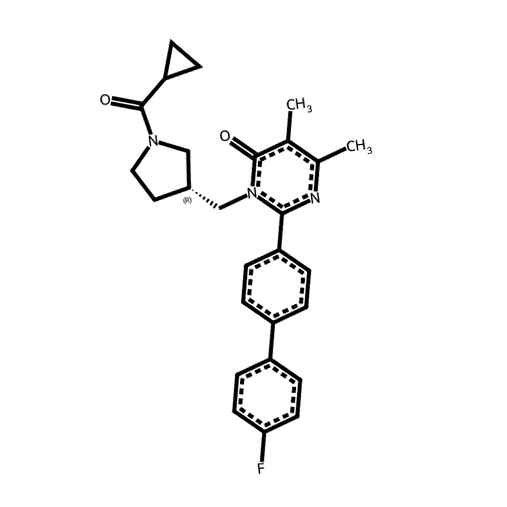 Cc1nc(-c2ccc(-c3ccc(F)cc3)cc2)n(C[C@@H]2CCN(C(=O)C3CC3)C2)c(=O)c1C